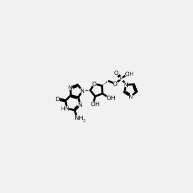 Nc1nc2c(ncn2[C@@H]2O[C@H](COP(=O)(O)n3ccnc3)C(O)C2O)c(=O)[nH]1